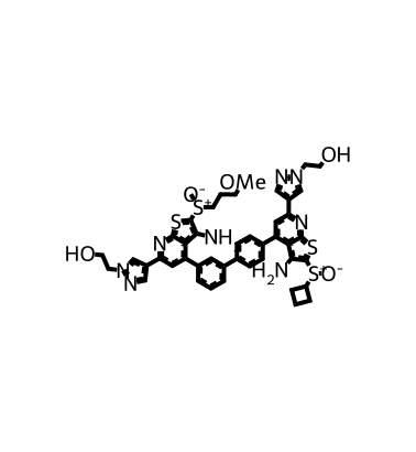 COCCC[S+]([O-])c1sc2nc(-c3cnn(CCO)c3)cc(-c3cccc(-c4ccc(-c5cc(-c6cnn(CCO)c6)nc6sc([S+]([O-])C7CCC7)c(N)c56)cc4)c3)c2c1N